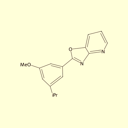 COc1cc(-c2nc3ncccc3o2)cc(C(C)C)c1